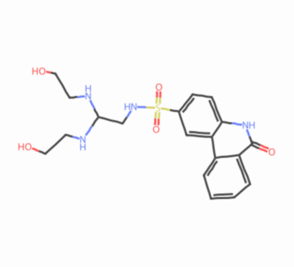 O=c1[nH]c2ccc(S(=O)(=O)NCC(NCCO)NCCO)cc2c2ccccc12